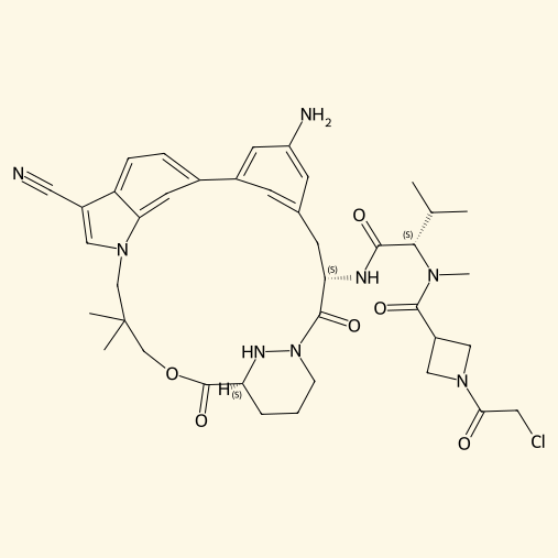 CC(C)[C@@H](C(=O)N[C@H]1Cc2cc(N)cc(c2)-c2ccc3c(C#N)cn(c3c2)CC(C)(C)COC(=O)[C@@H]2CCCN(N2)C1=O)N(C)C(=O)C1CN(C(=O)CCl)C1